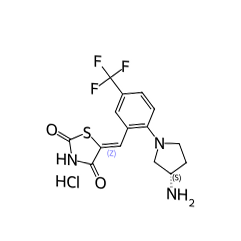 Cl.N[C@H]1CCN(c2ccc(C(F)(F)F)cc2/C=C2\SC(=O)NC2=O)C1